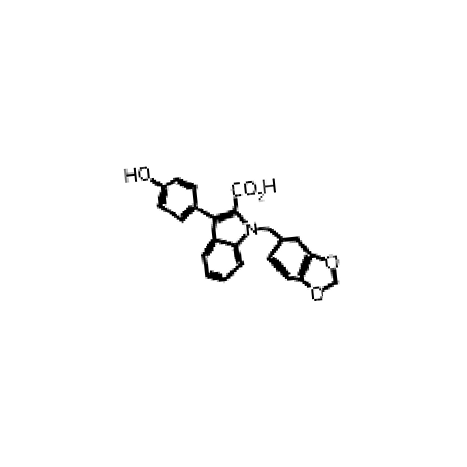 O=C(O)c1c(-c2ccc(O)cc2)c2ccccc2n1CC1C=CC2=C(C1)OCO2